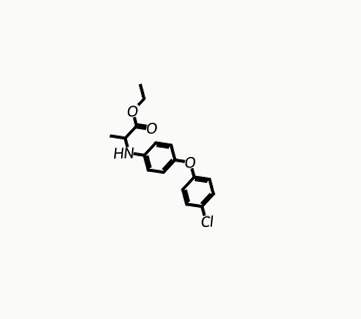 CCOC(=O)C(C)Nc1ccc(Oc2ccc(Cl)cc2)cc1